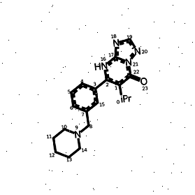 CC(C)c1c(-c2cccc(CN3CCCCC3)c2)[nH]c2ncnn2c1=O